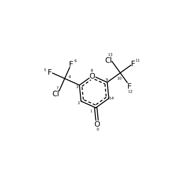 O=c1cc(C(F)(F)Cl)oc(C(F)(F)Cl)c1